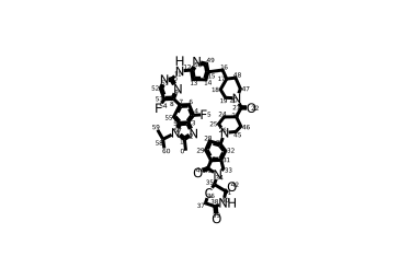 Cc1nc2c(F)cc(-c3nc(Nc4ccc(CC5CCN(C(=O)C6CCN(c7ccc8c(c7)CN(C7CCC(=O)NC7=O)C8=O)CC6)CC5)cn4)ncc3F)cc2n1C(C)C